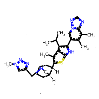 Cc1c(-c2[nH]c3sc([C@@H]4CC5CC[C@H]4CN5Cc4cn(C)nn4)c(C)c3c2C(C)C)cn2ncnc2c1C